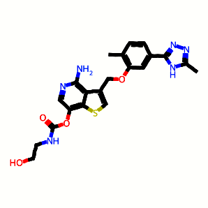 Cc1nnc(-c2ccc(C)c(OCc3csc4c(OC(=O)NCCO)cnc(N)c34)c2)[nH]1